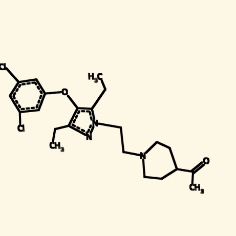 CCc1nn(CCN2CCC(C(C)=O)CC2)c(CC)c1Oc1cc(Cl)cc(Cl)c1